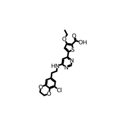 CCOc1cc(-c2cc(NCCc3cc(Cl)c4c(c3)OCCO4)ncn2)sc1C(=O)O